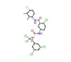 Cc1c(F)ccc(NC(=O)c2cc(NC(=O)[C@@H]3[C@@H](c4cc(Cl)cc(Cl)c4)C3(Cl)Cl)ccc2Cl)c1C